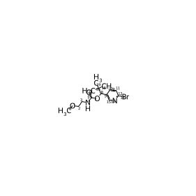 COCCNC(=O)OC(c1ccc(Br)nc1)C(C)(C)C